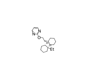 CCC1([C@H]2CCCC[C@@H]2CCOc2ncccn2)CCCCC1